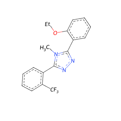 CCOc1ccccc1-c1nnc(-c2ccccc2C(F)(F)F)n1C